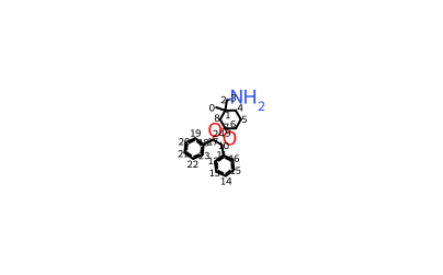 CC1(CN)CCCC2(C1)OC(c1ccccc1)C(c1ccccc1)O2